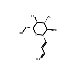 C=CC=C[C@@H]1O[C@H](CO)[C@@H](O)[C@H](O)[C@H]1O